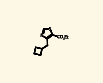 CCOC(=O)c1scnc1CC1CCC1